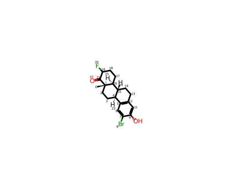 C[C@]12CC[C@@H]3c4cc(Br)c(O)cc4CC[C@H]3[C@@H]1CCC(F)C2=O